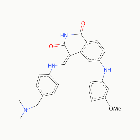 COc1cccc(Nc2ccc3c(c2)C(=CNc2ccc(CN(C)C)cc2)C(=O)NC3=O)c1